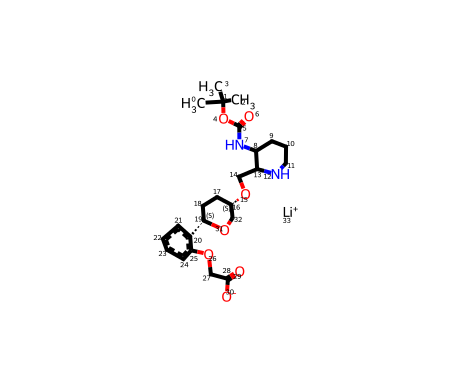 CC(C)(C)OC(=O)NC1CCCNC1CO[C@H]1CC[C@@H](c2ccccc2OCC(=O)[O-])OC1.[Li+]